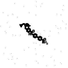 CC1C2Cc3ccc(C(=O)Nc4ccc(-c5ccc(C(N)=O)cc5)cc4)cc3[C@@]1(C)CCN2CC1CC1